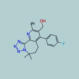 CC(C)c1nc2c(c(-c3ccc(F)cc3)c1CO)CCC(C)(C)n1nnnc1-2